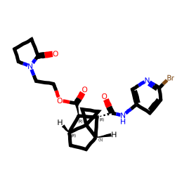 O=C(OCCN1CCCC1=O)[C@H]1[C@H](C(=O)Nc2ccc(Br)nc2)[C@@H]2CC[C@H]1C21CC1